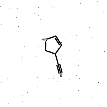 B#CC1C=CNC1